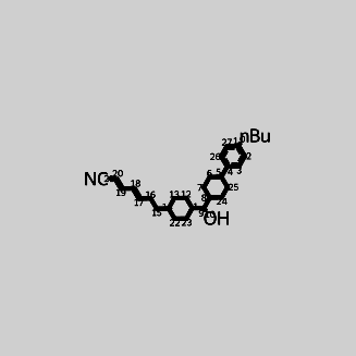 CCCCc1ccc(C2CCC(C(O)C3CCC(CCC=CC=CC#N)CC3)CC2)cc1